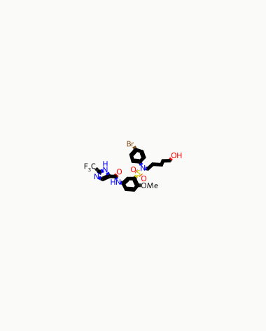 COc1ccc(NC(=O)c2cnc(C(F)(F)F)[nH]2)cc1S(=O)(=O)N(CCCCCO)c1ccc(Br)cc1